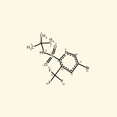 CC(C)(C)NS(=O)(=O)c1ncc(Br)cc1C(F)(F)F